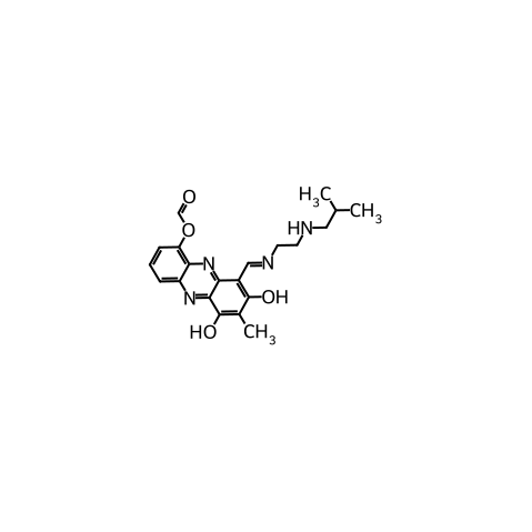 Cc1c(O)c(C=NCCNCC(C)C)c2nc3c(OC=O)cccc3nc2c1O